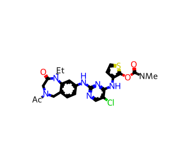 CCN1C(=O)CN(C(C)=O)Cc2ccc(Nc3ncc(Cl)c(Nc4ccsc4OC(=O)NC)n3)cc21